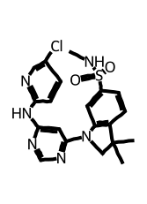 CNS(=O)(=O)c1ccc2c(c1)N(c1cc(Nc3ccc(Cl)cn3)ncn1)CC2(C)C